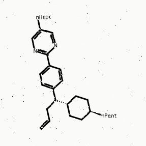 C=CCC(c1ccc(-c2ncc(CCCCCCC)cn2)cc1)[C@H]1CC[C@H](CCCCC)CC1